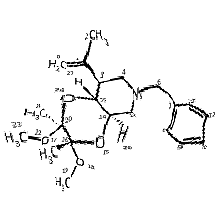 C=C(C)[C@H]1CN(Cc2ccccc2)C[C@H]2O[C@](C)(OC)[C@@](C)(OC)O[C@H]12